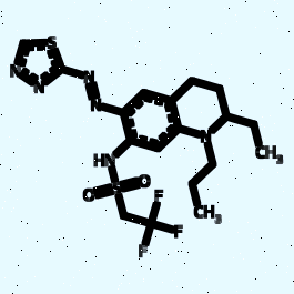 CCCN1c2cc(NS(=O)(=O)CC(F)(F)F)c(N=Nc3nncs3)cc2CCC1CC